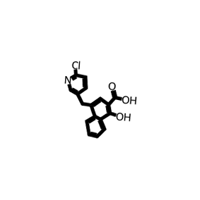 O=C(O)c1cc(Cc2ccc(Cl)nc2)c2ccccc2c1O